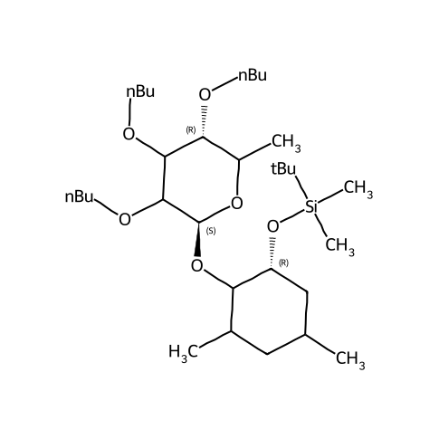 CCCCOC1C(OCCCC)[C@H](OCCCC)C(C)O[C@H]1OC1C(C)CC(C)C[C@H]1O[Si](C)(C)C(C)(C)C